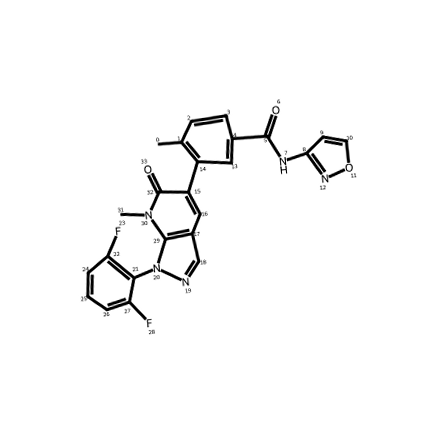 Cc1ccc(C(=O)Nc2ccon2)cc1-c1cc2cnn(-c3c(F)cccc3F)c2n(C)c1=O